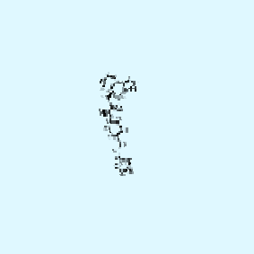 Cn1nccc1-c1ccncc1C=CC(=O)Nc1ccc(CCc2nnco2)cc1